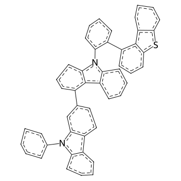 c1ccc(-n2c3ccccc3c3ccc(-c4cccc5c4c4ccccc4n5-c4ccccc4-c4cccc5sc6ccccc6c45)cc32)cc1